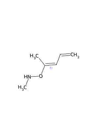 C=C/C=C(\C)ONC